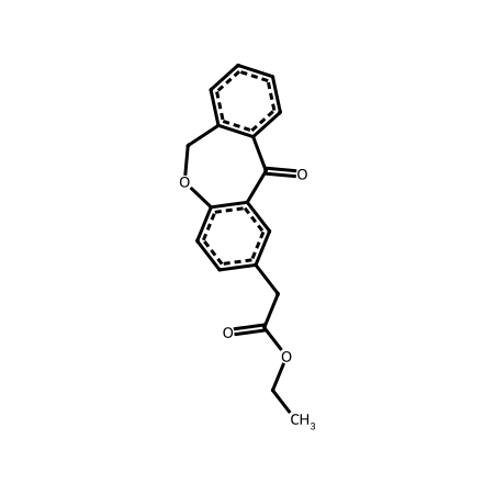 CCOC(=O)Cc1ccc2c(c1)C(=O)c1ccccc1CO2